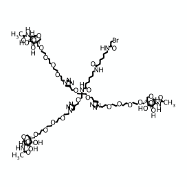 CC(=O)N[C@H]1[C@H]2OC[C@@](COCCOCCOCCOCCn3cc(COCC(COCc4cn(CCOCCOCCOCCOC[C@]56CO[C@@H](O5)[C@H](NC(C)=O)[C@@H](O)[C@H]6O)nn4)(COCc4cn(CCOCCOCCOCCOC[C@]56CO[C@@H](O5)[C@H](NC(C)=O)[C@@H](O)[C@H]6O)nn4)NC(=O)CCCCCNC(=O)CCCCCNC(=O)CBr)nn3)(O2)[C@H](O)[C@@H]1O